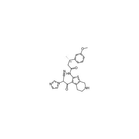 COc1cccc([C@@H](C)CC(=O)Nc2sc3c(c2C(=O)C(C#N)n2ccnc2)CCNC3)c1